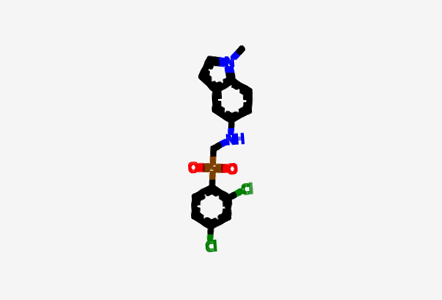 Cn1ccc2cc(NCS(=O)(=O)c3ccc(Cl)cc3Cl)ccc21